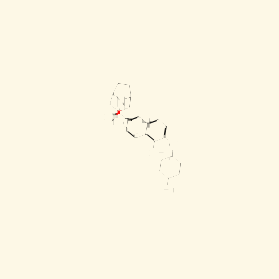 CCC1CCC(Oc2ccc3cc(C(=O)N4C5CCC4CC(C(=O)O)C5)ccc3c2C(F)(F)F)CC1